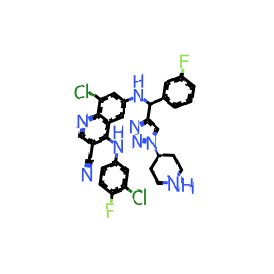 N#Cc1cnc2c(Cl)cc(NC(c3cccc(F)c3)c3cn(C4CCNCC4)nn3)cc2c1Nc1ccc(F)c(Cl)c1